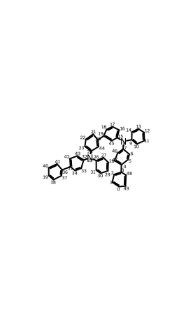 c1ccc(-c2ccc(N(c3ccccc3)c3cccc(-c4cccc(N(c5ccccc5)c5ccc(-c6ccccc6)cc5)c4)c3)cc2)cc1